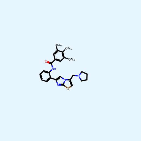 COc1cc(C(=O)Nc2ccccc2-c2cn3c(CN4CCCC4)csc3n2)cc(OC)c1OC